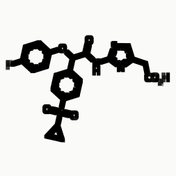 O=C(O)Cc1csc(NC(=O)C(Oc2ccc(F)cc2)c2ccc(S(=O)(=O)C3CC3)cc2)n1